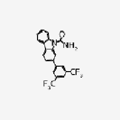 NC(=O)n1c2ccccc2c2ccc(-c3cc(C(F)(F)F)cc(C(F)(F)F)c3)cc21